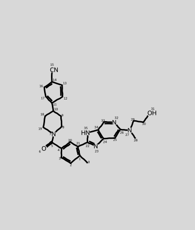 Cc1ccc(C(=O)N2CCC(c3ccc(C#N)cc3)CC2)cc1-c1nc2cc(N(C)CCO)ncc2[nH]1